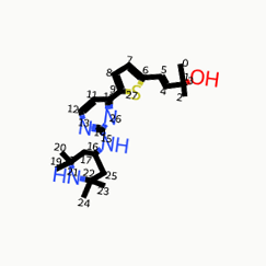 CC(C)(O)C=Cc1ccc(-c2ccnc(NC3CC(C)(C)NC(C)(C)C3)n2)s1